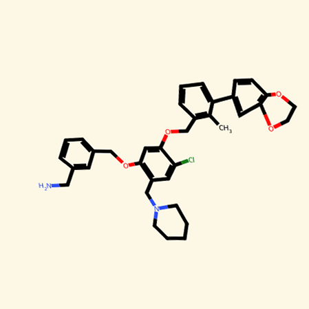 Cc1c(COc2cc(OCc3cccc(CN)c3)c(CN3CCCCC3)cc2Cl)cccc1-c1ccc2c(c1)OCCO2